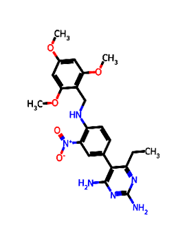 CCc1nc(N)nc(N)c1-c1ccc(NCc2c(OC)cc(OC)cc2OC)c([N+](=O)[O-])c1